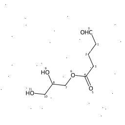 O=CCCCC(=O)OCC(O)CO